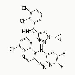 N#Cc1cnc2c(Cl)cc(N[C@H](c3cn(C4CC4)nn3)c3cccc(Cl)c3Cl)cc2c1Nc1cnc(F)c(F)c1